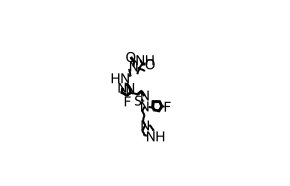 CC1(C)C(=O)NC(=O)N1CCNc1ncc(F)c(-c2cnc(N(CCCN3CCNCC3)c3ccc(F)cc3)s2)n1